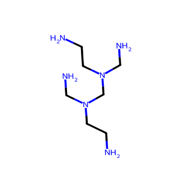 NCCN(CN)CN(CN)CCN